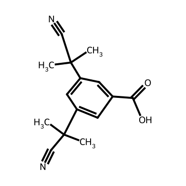 CC(C)(C#N)c1cc(C(=O)O)cc(C(C)(C)C#N)c1